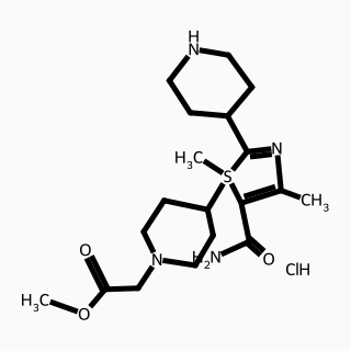 COC(=O)CN1CCC(S2(C)C(C3CCNCC3)=NC(C)=C2C(N)=O)CC1.Cl